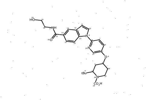 CC(C)(C)C1CC(Oc2ccc(-n3ccc4cc(C(=O)NCCO)ccc43)nc2)CCN1C(=O)O